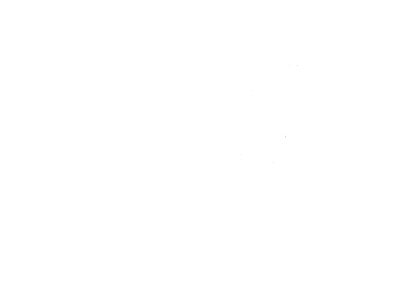 Cc1ccc(C(OS(C)(=O)=O)C(=O)c2ccccc2)cc1C